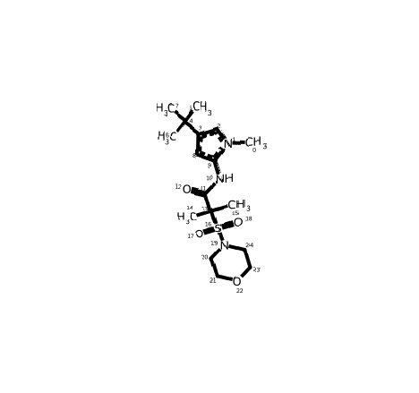 Cn1cc(C(C)(C)C)cc1NC(=O)C(C)(C)S(=O)(=O)N1CCOCC1